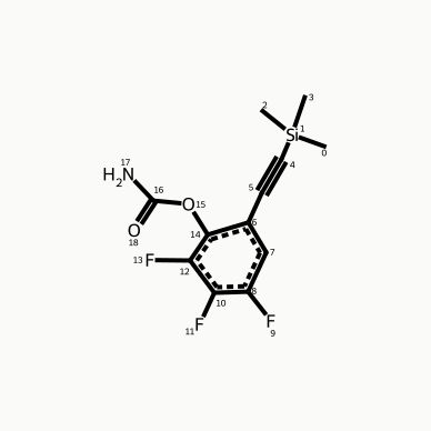 C[Si](C)(C)C#Cc1cc(F)c(F)c(F)c1OC(N)=O